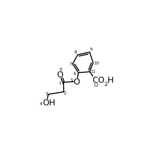 O=C(CCO)Oc1ccccc1C(=O)O